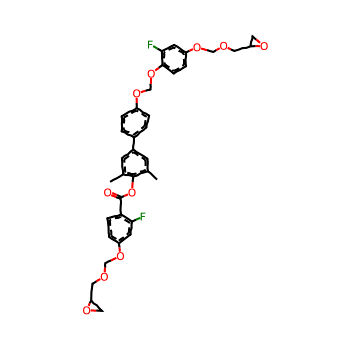 Cc1cc(-c2ccc(OCOc3ccc(OCOCC4CO4)cc3F)cc2)cc(C)c1OC(=O)c1ccc(OCOCC2CO2)cc1F